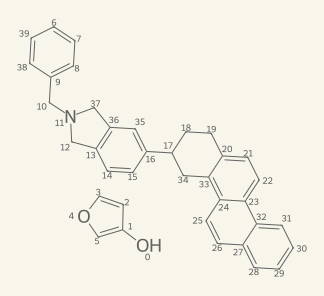 Oc1ccoc1.c1ccc(CN2Cc3ccc(C4CCc5ccc6c(ccc7ccccc76)c5C4)cc3C2)cc1